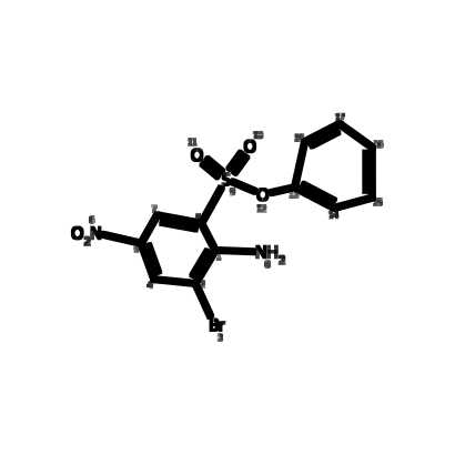 Nc1c(Br)cc([N+](=O)[O-])cc1S(=O)(=O)Oc1ccccc1